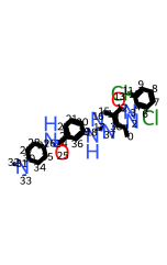 Cc1nn(-c2c(Cl)cccc2Cl)c(=O)c2cnc(Nc3cccc(C(=O)NC4CCC(N(C)C)CC4)c3)nc12